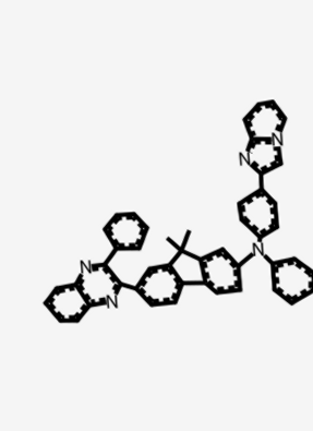 CC1(C)c2cc(-c3nc4ccccc4nc3-c3ccccc3)ccc2-c2ccc(N(c3ccccc3)c3ccc(-c4cn5ccccc5n4)cc3)cc21